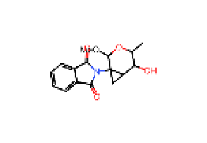 COC1OC(C)C(O)C2CC12N1C(=O)c2ccccc2C1=O